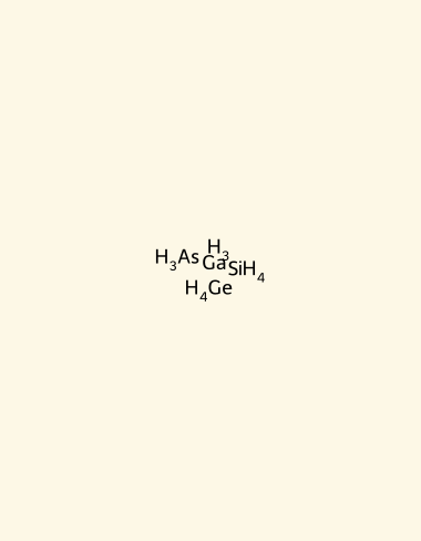 [AsH3].[GaH3].[GeH4].[SiH4]